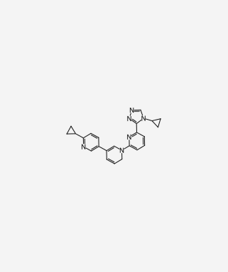 C1=CC(c2ccc(C3CC3)nc2)=CN(c2cccc(-c3nncn3C3CC3)n2)C1